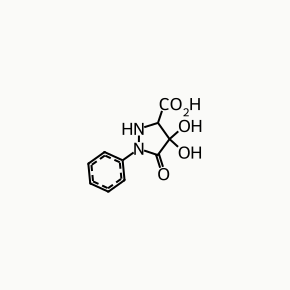 O=C(O)C1NN(c2ccccc2)C(=O)C1(O)O